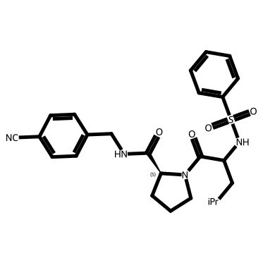 CC(C)CC(NS(=O)(=O)c1ccccc1)C(=O)N1CCC[C@H]1C(=O)NCc1ccc(C#N)cc1